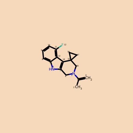 C=C(C)N1Cc2[nH]c3cccc(F)c3c2C2(CC2)C1